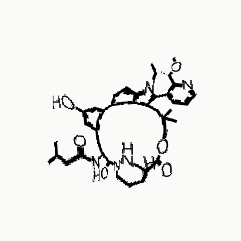 CCn1c(-c2cccnc2[C@H](C)OC)c2c3cc(ccc31)-c1cc(O)cc(c1)C[C@H](NC(=O)CC(C)C)C(=O)N1CCC[C@H](N1)C(=O)OCC(C)(C)C2